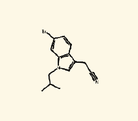 CC(C)Cn1cc(CC#N)c2ccc(Br)cc21